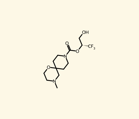 CN1CCOC2(CCN(C(=O)O[C@H](CO)C(F)(F)F)CC2)C1